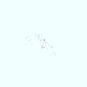 CC1(C)C2CN(C(=O)[C@@H](NC(=O)NC3(Cc4cccc(O)c4)CCCCC3)C3CCCCC3)[C@H](C(=O)NC(CC3CC3)C(=O)C(N)=O)C21